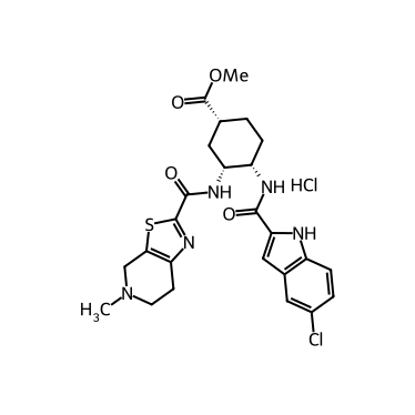 COC(=O)[C@@H]1CC[C@H](NC(=O)c2cc3cc(Cl)ccc3[nH]2)[C@H](NC(=O)c2nc3c(s2)CN(C)CC3)C1.Cl